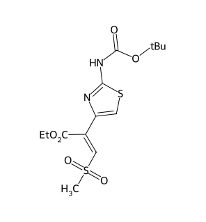 CCOC(=O)C(=CS(C)(=O)=O)c1csc(NC(=O)OC(C)(C)C)n1